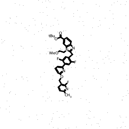 COCCn1c(Cc2cc(F)c(-c3cccc(OCc4ccc(C)nc4F)n3)cc2F)nc2ccc(C(=O)OC(C)(C)C)cc21